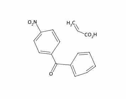 C=CC(=O)O.O=C(c1ccccc1)c1ccc([N+](=O)[O-])cc1